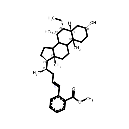 CC[C@H]1[C@@H](O)C2C3CC[C@H]([C@H](C)C/C=C/c4ccccc4C(=O)OC)[C@@]3(C)CCC2[C@@]2(C)CC[C@@H](O)C[C@@H]12